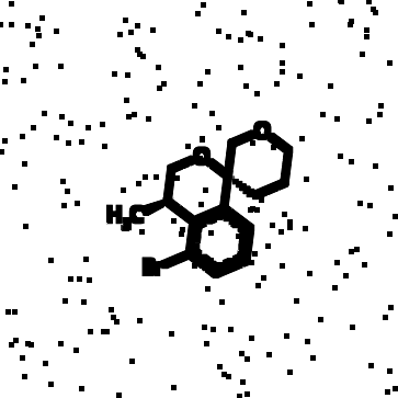 C[C@H]1CO[C@]2(CCCOC2)c2cccc(Br)c21